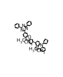 CC1(C)c2ccc(-c3ccc4c(c3)[Si](C)(C)c3ccccc3N4c3ccccc3)cc2Oc2cc(-c3nc(-c4ccccc4)nc(-c4ccccc4)n3)ccc21